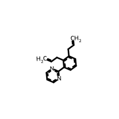 C=CCc1cccc(-c2ncccn2)c1CC=C